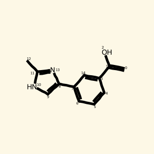 C=C(O)c1cccc(-c2c[nH]c(C)n2)c1